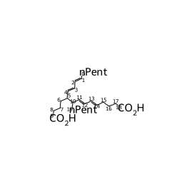 CCCCC/C=C/C=C/C(CCCC(=O)O)C(/C=C/C=C/CCCC(=O)O)CCCCC